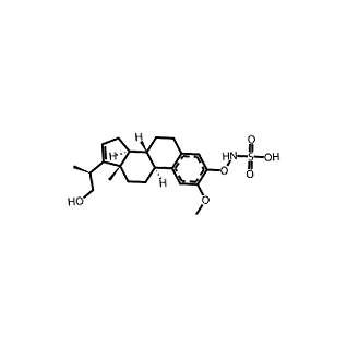 COc1cc2c(cc1ONS(=O)(=O)O)CC[C@@H]1[C@@H]2CC[C@]2(C)C([C@H](C)CO)=CC[C@@H]12